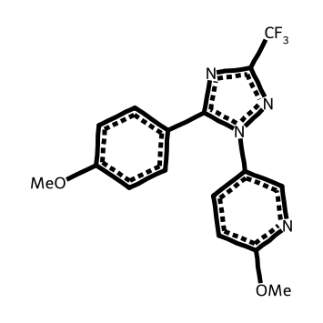 COc1ccc(-c2nc(C(F)(F)F)nn2-c2ccc(OC)nc2)cc1